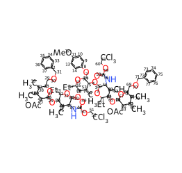 CCC1O[C@@H](OC2[C@@H](Oc3ccc(OC)cc3)OC(CC)[C@@H](O[C@@H]3OC(CC)[C@@H](O[C@@H]4OC(COCc5ccccc5)[C@H](C)[C@H](C)C4OC(C)=O)[C@H](C)C3NC(=O)OCC(Cl)(Cl)Cl)[C@H]2C)C(NC(=O)OCC(Cl)(Cl)Cl)[C@@H](C)[C@@H]1O[C@@H]1OC(COCc2ccccc2)[C@H](C)[C@H](C)C1OC(C)=O